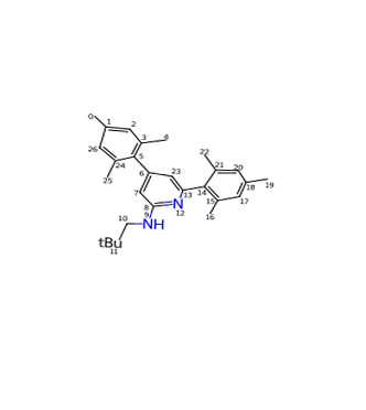 Cc1cc(C)c(-c2cc(NCC(C)(C)C)nc(-c3c(C)cc(C)cc3C)c2)c(C)c1